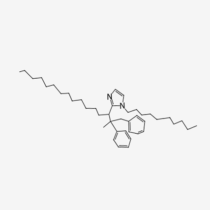 CCCCCCCCCCCCCC(c1nccn1CCCCCCCCCC)C(C)(Cc1ccccc1)c1ccccc1